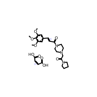 COc1cc(/C=C/C(=O)N2CCN(CC(=O)N3CCCC3)CC2)cc(OC)c1OC.O=C(O)/C=C\C(=O)O